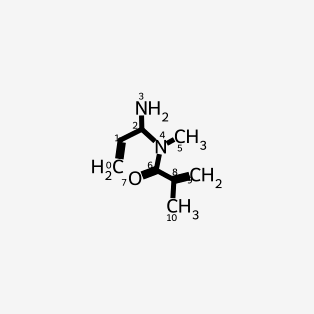 C=CC(N)N(C)C(=O)C(=C)C